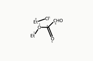 CCCl.CCOC(=O)C=O